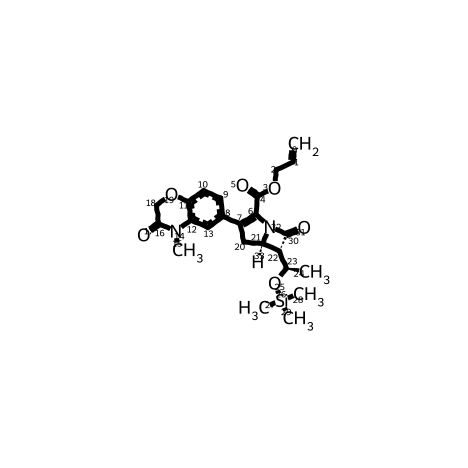 C=CCOC(=O)C1=C(c2ccc3c(c2)N(C)C(=O)CO3)C[C@@H]2[C@@H]([C@@H](C)O[Si](C)(C)C)C(=O)N12